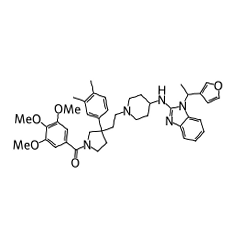 COc1cc(C(=O)N2CCC(CCN3CCC(Nc4nc5ccccc5n4C(C)c4ccoc4)CC3)(c3ccc(C)c(C)c3)C2)cc(OC)c1OC